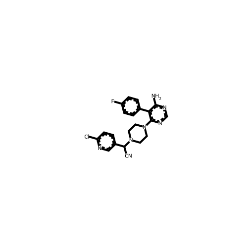 N#CC(c1ccc(Cl)nc1)N1CCN(c2ncnc(N)c2-c2ccc(F)cc2)CC1